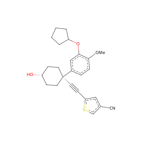 COc1ccc([C@]2(C#Cc3cc(C#N)cs3)CC[C@@H](O)CC2)cc1OC1CCCC1